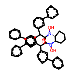 O=C(C(c1cccc(-c2ccccc2)c1)c1cccc(-c2ccccc2)c1)N(O)[C@@H]1CCCC[C@H]1N(O)C(=O)C(c1cccc(-c2ccccc2)c1)c1cccc(-c2ccccc2)c1